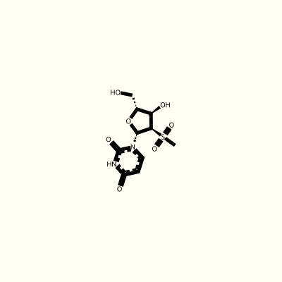 CS(=O)(=O)[C@@H]1[C@H](O)[C@@H](CO)O[C@H]1n1ccc(=O)[nH]c1=O